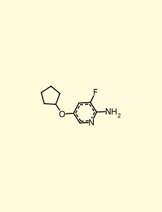 Nc1ncc(OC2CCCC2)cc1F